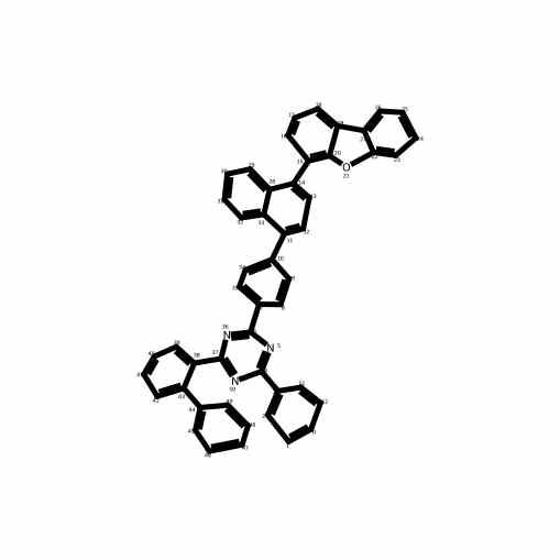 c1ccc(-c2nc(-c3ccc(-c4ccc(-c5cccc6c5oc5ccccc56)c5ccccc45)cc3)nc(-c3ccccc3-c3ccccc3)n2)cc1